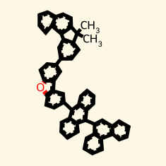 CC1(C)c2ccc(-c3ccc4oc5ccc(-c6c7ccccc7c(-c7cc8ccccc8c8ccccc78)c7ccccc67)cc5c4c3)cc2-c2c1ccc1ccccc21